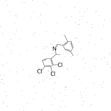 Cc1ccc(C)c(/C=N\C(C)c2ccc(Cl)c(Cl)c2Cl)c1